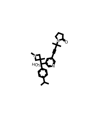 CC(C)c1ccc([C@](O)(c2cncc(C#CC(C)(C)N3CCCC3=O)c2)C2(C)CN(C)C2)cc1